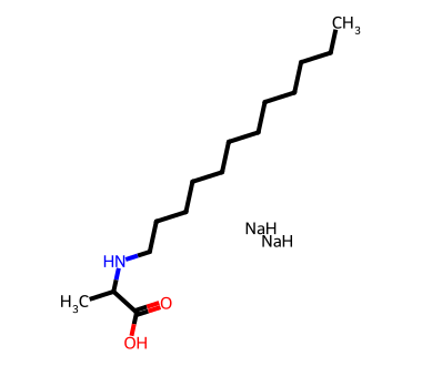 CCCCCCCCCCCCNC(C)C(=O)O.[NaH].[NaH]